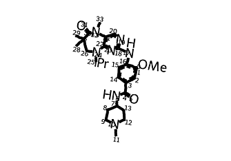 COc1cc(C(=O)NC2CCN(C)CC2)ccc1Nc1ncc2c(n1)N(C(C)C)CC(C)(C)C(=O)N2C